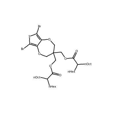 CCCCCCCCC(CCCCCC)C(=O)OCC1(COC(=O)C(CCCCCC)CCCCCCCC)COc2c(Br)sc(Br)c2OC1